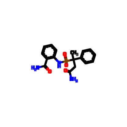 CC(CC(N)=O)(c1ccccc1)S(=O)(=O)Nc1ccccc1C(N)=O